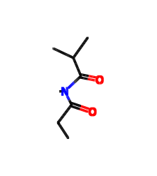 CCC(=O)[N]C(=O)C(C)C